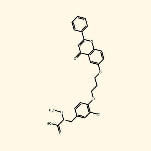 CO[C@@H](Cc1ccc(OCCCOc2ccc3oc(-c4ccccc4)cc(=O)c3c2)c(Cl)c1)C(=O)O